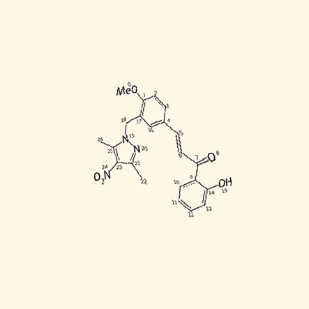 COc1ccc(C=CC(=O)c2ccccc2O)cc1Cn1nc(C)c([N+](=O)[O-])c1C